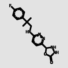 CC(C)(CNc1ccc(C2NNC(=O)O2)nn1)c1ccc(F)cc1